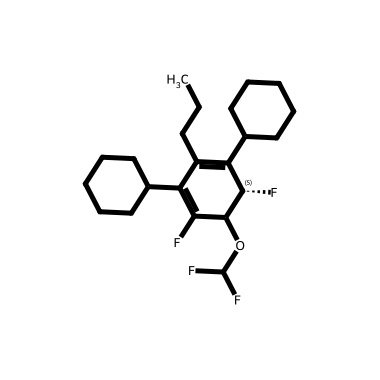 CCCC1=C(C2CCCCC2)[C@H](F)[C](OC(F)F)C(F)=C1C1CCCCC1